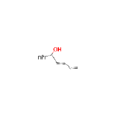 C=CC=CC(O)CCC